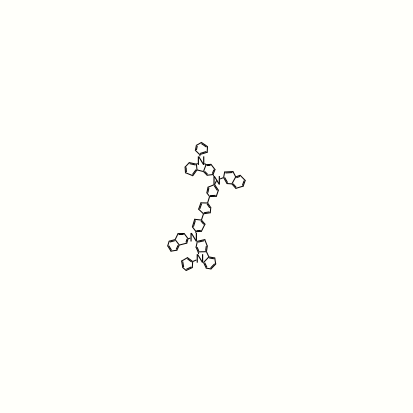 c1ccc(-n2c3ccccc3c3cc(N(c4ccc(-c5ccc(-c6ccc(N(c7ccc8ccccc8c7)c7ccc8c9ccccc9n(-c9ccccc9)c8c7)cc6)cc5)cc4)c4ccc5ccccc5c4)ccc32)cc1